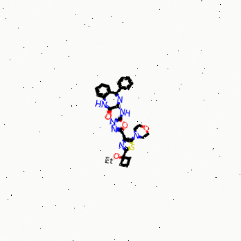 CCOC1(c2nc(-c3nnc(N[C@H]4N=C(c5ccccc5)c5ccccc5NC4=O)o3)c(N3CCOCC3)s2)CCC1